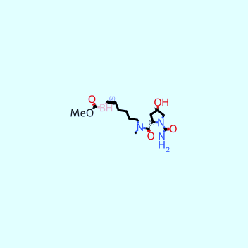 COC(=O)B/C=C\CCCCN(C)C(=O)[C@@H]1C[C@@H](O)CN1C(N)=O